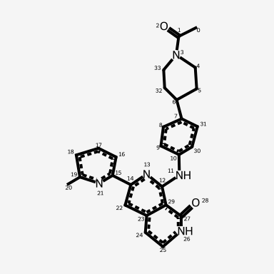 CC(=O)N1CCC(c2ccc(Nc3nc(-c4cccc(C)n4)cc4cc[nH]c(=O)c34)cc2)CC1